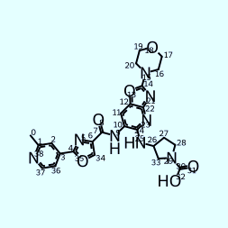 Cc1cc(-c2nc(C(=O)Nc3cc4oc(N5CCOCC5)nc4nc3NC3CCN(C(=O)O)C3)co2)ccn1